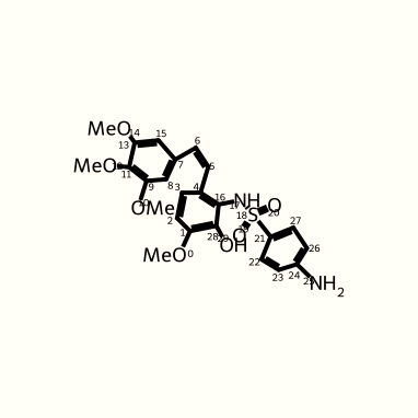 COc1ccc(/C=C\c2cc(OC)c(OC)c(OC)c2)c(NS(=O)(=O)c2ccc(N)cc2)c1O